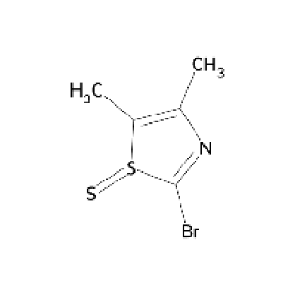 CC1=C(C)S(=S)C(Br)=N1